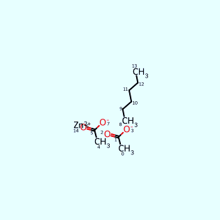 CC(=O)[O-].CC(=O)[O-].CCCCCC.[Zn+2]